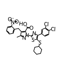 Cc1nn(-c2nc(-c3ccc(Cl)c(Cl)c3)c(SC3CCCCC3)s2)c(C(=O)O)c1Cc1ccccc1[N+](=O)[O-]